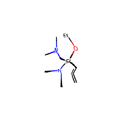 C=C[Si](OCC)(N(C)C)N(C)C